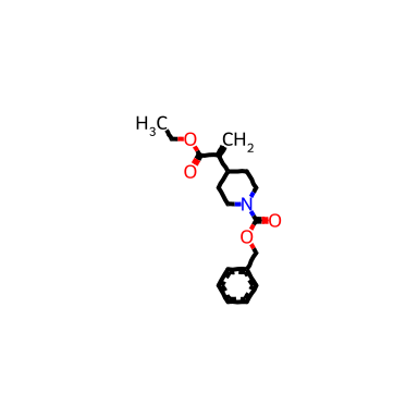 C=C(C(=O)OCC)C1CCN(C(=O)OCc2ccccc2)CC1